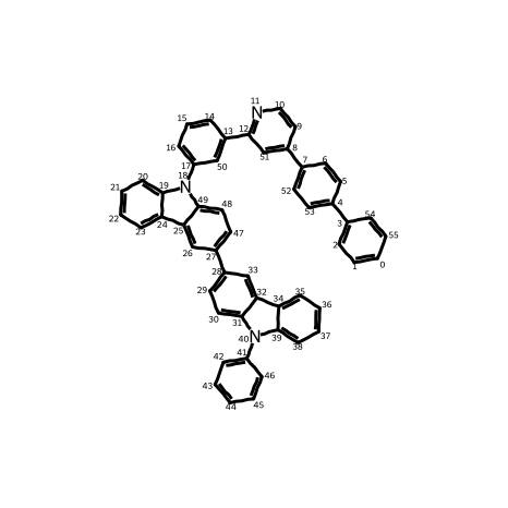 c1ccc(-c2ccc(-c3ccnc(-c4cccc(-n5c6ccccc6c6cc(-c7ccc8c(c7)c7ccccc7n8-c7ccccc7)ccc65)c4)c3)cc2)cc1